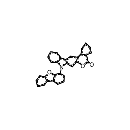 O=c1oc2cc3c(cc2c2ccccc12)c1ccccc1n3-c1cccc2c1oc1ccccc12